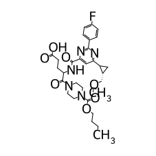 CCCCOC(=O)N1CCN(C(=O)C(CCC(=O)O)NC(=O)c2cc(C3C[C@@H]3COC)nc(-c3ccc(F)cc3)n2)CC1